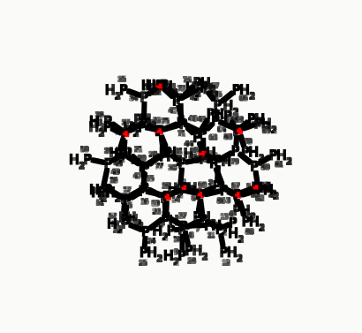 PPP(P(P)P)P(P(P(P)P)P(P)P)P(P(P(P(P)P)P(P)P)P(P(P)P)P(P)P)P(P(P(P(P(P)P)P(P)P)P(P(P)P)P(P)P)P(P(P(P)P)P(P)P)P(P(P)P)P(P)P)P(P(P(P(P)P)P(P)P)P(P(P)P)P(P)P)P(P(P(P)P)P(P)P)P(P(P)P)P(P)P